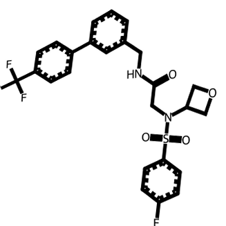 O=C(CN(C1COC1)S(=O)(=O)c1ccc(F)cc1)NCc1cccc(-c2ccc(C(F)(F)F)cc2)c1